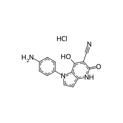 Cl.N#Cc1c(O)c2c(ccn2-c2ccc(N)cc2)[nH]c1=O